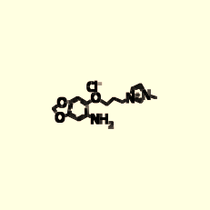 Cn1cc[n+](CCCOc2cc3c(cc2N)OCO3)c1.[Cl-]